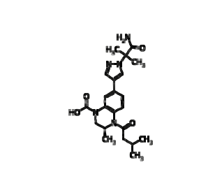 CC(C)CC(=O)N1c2ccc(-c3cnn(C(C)(C)C(N)=O)c3)cc2N(C(=O)O)C[C@@H]1C